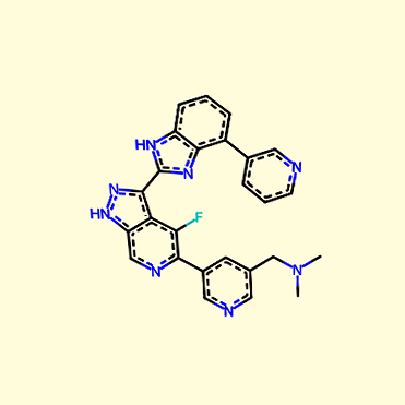 CN(C)Cc1cncc(-c2ncc3[nH]nc(-c4nc5c(-c6cccnc6)cccc5[nH]4)c3c2F)c1